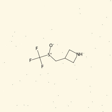 [O-][S+](CC1CNC1)C(F)(F)F